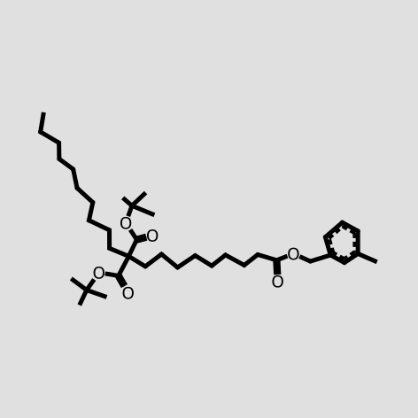 CCCCCCCCCCC(CCCCCCCCC(=O)OCc1cccc(C)c1)(C(=O)OC(C)(C)C)C(=O)OC(C)(C)C